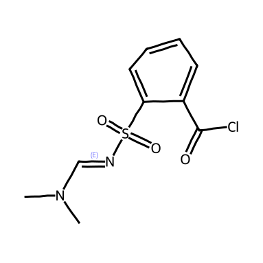 CN(C)/C=N/S(=O)(=O)c1ccccc1C(=O)Cl